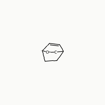 C1=CC2CC[C]1OC2